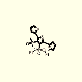 CCOP(=O)(OCC)c1c(-c2cccs2)sc(-c2cccs2)c1P(C)(C)=O